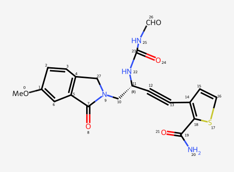 COc1ccc2c(c1)C(=O)N(C[C@@H](C#Cc1ccsc1C(N)=O)NC(=O)NC=O)C2